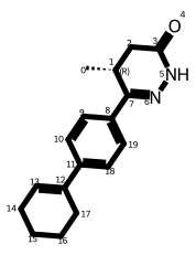 C[C@@H]1CC(=O)NN=C1c1ccc(C2=CCCCC2)cc1